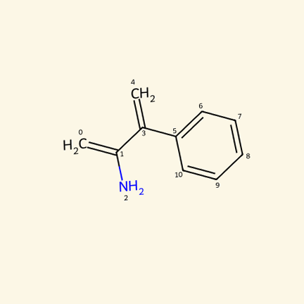 C=C(N)C(=C)c1ccccc1